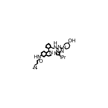 CC(C)c1cnn2c(NCc3ccccc3-c3nccc4cc(NC(=O)/C=C/CN(C)C)ccc34)nc(N3CCCC(O)CC3)nc12